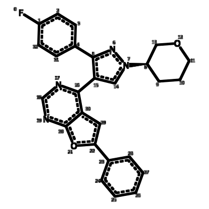 Fc1ccc(-c2nn([C@@H]3CCCOC3)cc2-c2ncnc3oc(-c4ccccc4)cc23)cc1